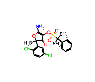 BC1(c2cc(Cl)ccc2Cl)OC(N)=C(OS(=O)(=O)C(B)(B)c2ccccc2)C1=O